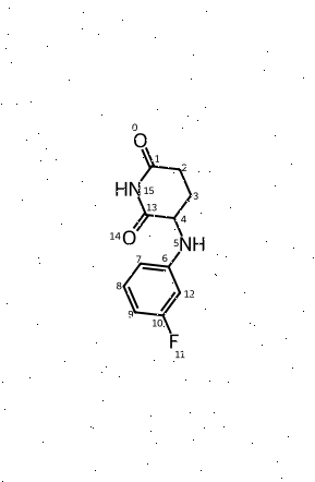 O=C1CCC(Nc2cccc(F)c2)C(=O)N1